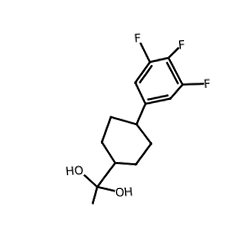 CC(O)(O)C1CCC(c2cc(F)c(F)c(F)c2)CC1